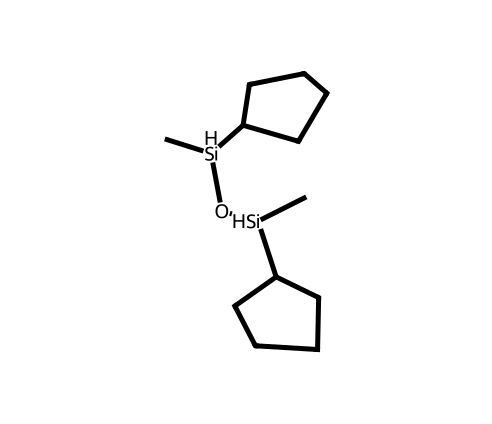 C[SiH](O[SiH](C)C1CCCC1)C1CCCC1